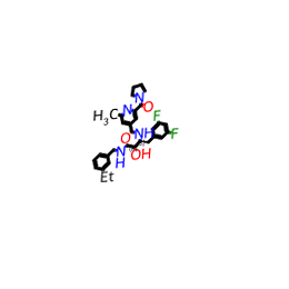 CCc1cccc(CNC[C@@H](O)[C@H](Cc2cc(F)cc(F)c2)NC(=O)c2cc(C)nc(C(=O)N3CCCC3)c2)c1